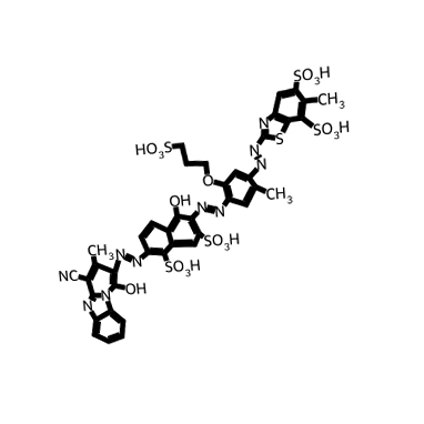 Cc1cc(N=Nc2c(S(=O)(=O)O)cc3c(S(=O)(=O)O)c(N=Nc4c(C)c(C#N)c5nc6ccccc6n5c4O)ccc3c2O)c(OCCCS(=O)(=O)O)cc1N=Nc1nc2cc(S(=O)(=O)O)c(C)c(S(=O)(=O)O)c2s1